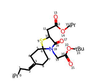 CC(C)CC=C1CCC2(CC1)SC(CC(=O)OC(C)C)C(=O)N2CC(=O)OC(C)(C)C